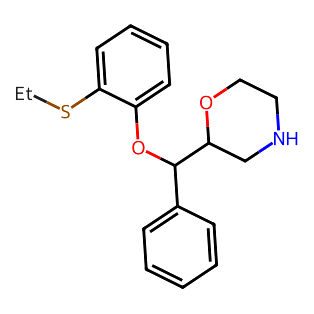 CCSc1ccccc1OC(c1ccccc1)C1CNCCO1